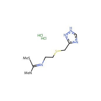 CNC(=NCCSCc1nc[nH]n1)SC.Cl.Cl